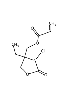 C=CC(=O)OCC1(CC)COC(=O)N1Cl